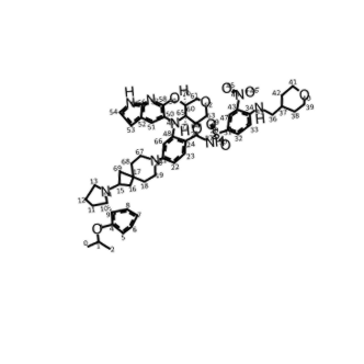 CC(C)Oc1ccccc1[C@@H]1CCCN1C1CC2(CCN(c3ccc(C(=O)NS(=O)(=O)c4ccc(NCC5CCOCC5)c([N+](=O)[O-])c4)c(N4c5cc6cc[nH]c6nc5O[C@H]5COCC[C@H]54)c3)CC2)C1